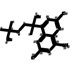 CCCCC(C)(CO[Si](C)(C)C(C)(C)C)c1nc(Cl)nc2c(N)nc(Cl)nc12